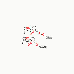 COCCOCCC1CCCCc2c1oc(=O)c(Cc1ccccc1C1CC1)c2O.COCCOCCOCCC1CCCCc2c1oc(=O)c(Cc1ccccc1C1CC1)c2O